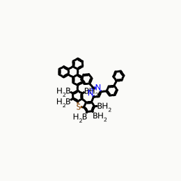 Bc1c(-c2ccc3c4ccccc4c4ccccc4c3c2)c(B)c2c(sc3c(B)c(B)c(B)c(-c4cc(-c5cccc(-c6ccccc6)c5)nc(-c5ccccc5)n4)c32)c1B